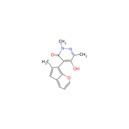 Cc1cc2cccoc-2c1-c1c(O)c(C)nn(C)c1=O